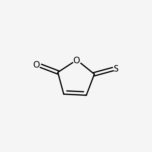 O=C1C=CC(=S)O1